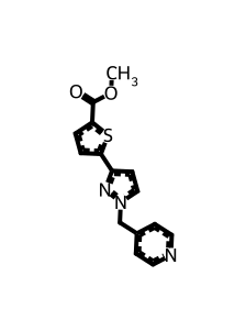 COC(=O)c1ccc(-c2ccn(Cc3ccncc3)n2)s1